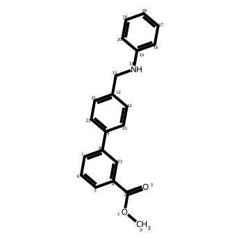 COC(=O)c1cccc(-c2ccc(CNc3ccccc3)cc2)c1